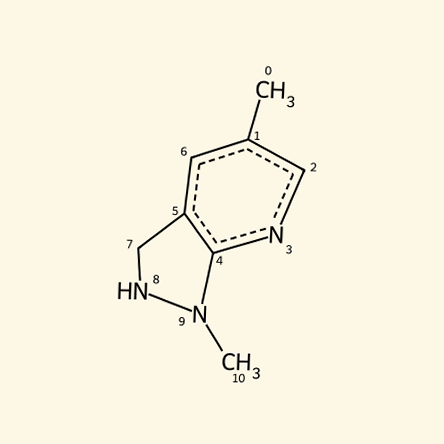 Cc1cnc2c(c1)CNN2C